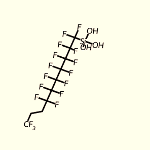 O[Si](O)(O)C(F)(F)C(F)(F)C(F)(F)C(F)(F)C(F)(F)C(F)(F)C(F)(F)CCC(F)(F)F